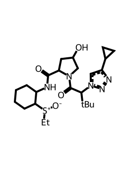 CC[S+]([O-])C1CCCCC1NC(=O)C1CC(O)CN1C(=O)C(n1cc(C2CC2)nn1)C(C)(C)C